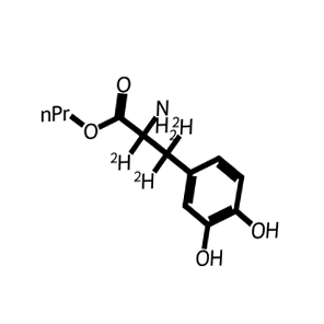 [2H]C(N)(C(=O)OCCC)C([2H])([2H])c1ccc(O)c(O)c1